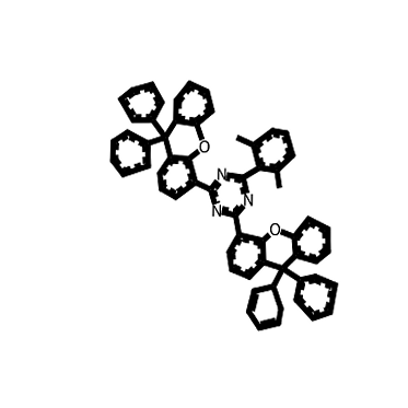 Cc1cccc(C)c1-c1nc(-c2cccc3c2Oc2ccccc2C3(c2ccccc2)c2ccccc2)nc(-c2cccc3c2Oc2ccccc2C3(c2ccccc2)C2C=CC=CC2)n1